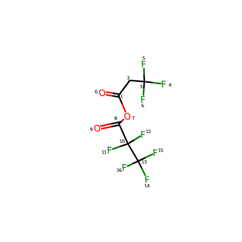 O=C(CC(F)(F)F)OC(=O)C(F)(F)C(F)(F)F